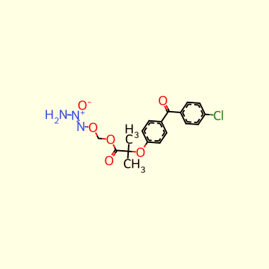 CC(C)(Oc1ccc(C(=O)c2ccc(Cl)cc2)cc1)C(=O)OCO/N=[N+](/N)[O-]